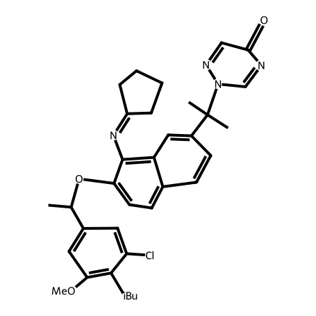 CCC(C)c1c(Cl)cc(C(C)Oc2ccc3ccc(C(C)(C)n4cnc(=O)cn4)cc3c2N=C2CCCC2)cc1OC